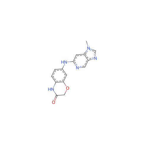 Cn1cnc2cnc(Nc3ccc4c(c3)OCC(=O)N4)cc21